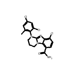 Cc1cc(Cl)cc(Cl)c1N1CCCn2c1nc1c(Cl)ccc(C(N)=O)c12